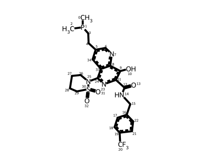 CP(C)CCc1cnc2c(O)c(C(=O)NCc3ccc(C(F)(F)F)cc3)nc(N3CCCCS3(=O)=O)c2c1